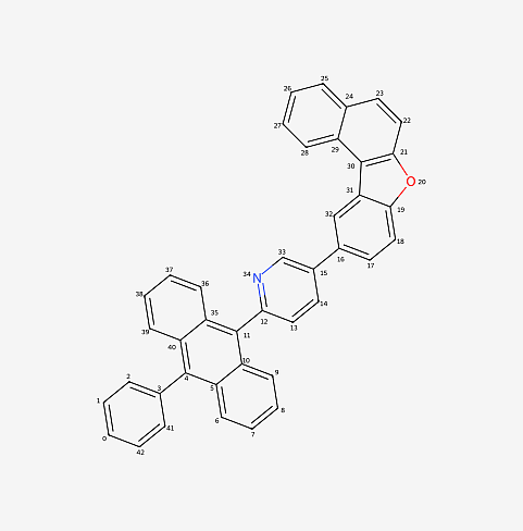 c1ccc(-c2c3ccccc3c(-c3ccc(-c4ccc5oc6ccc7ccccc7c6c5c4)cn3)c3ccccc23)cc1